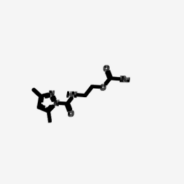 CCC(C)C(=O)OCCNC(=O)n1nc(C)cc1C